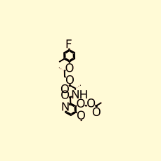 COc1ccnc(C(=O)N[C@@H](C)C(=O)OC[C@H](C)Oc2ccc(F)cc2C)c1OCOC(C)=O